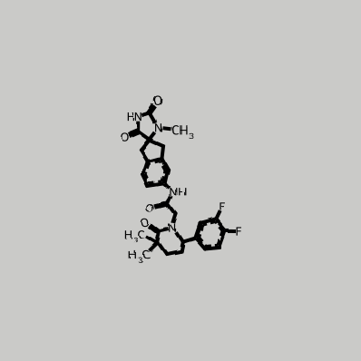 CN1C(=O)NC(=O)C12Cc1ccc(NC(=O)CN3C(=O)C(C)(C)CCC3c3ccc(F)c(F)c3)cc1C2